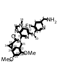 CCc1cc(CN)ncc1N(C)c1cc2c(ncn2C)c(N(Cc2ccc(OC)cc2OC)C(=O)C2CC2)n1